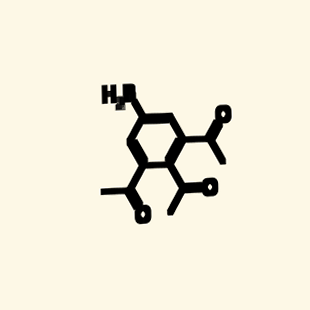 Bc1cc(C(C)=O)c(C(C)=O)c(C(C)=O)c1